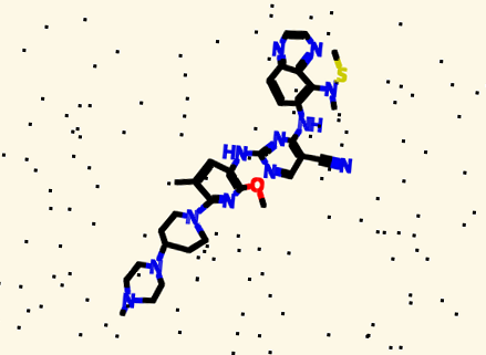 COc1nc(N2CCC(N3CCN(C)CC3)CC2)c(C)cc1Nc1ncc(C#N)c(Nc2ccc3nccnc3c2N(C)SC)n1